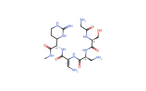 CNC(=O)[C@@H](NC(=O)/C(=C/N)NC(=O)[C@H](CN)NC(=O)[C@H](CO)NC(=O)CN)C1CCNC(=N)N1